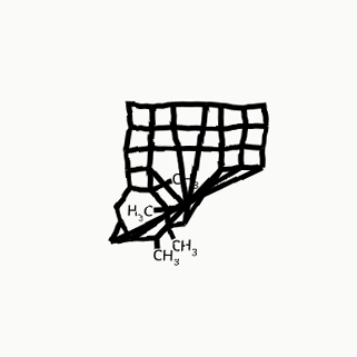 CC12C3CC4C5C6C7C8CC9C%10C%11C%12C%13CC%14C%15C3C13C%151C%14%13C%12%13C%11%12C%10%11C89C78C67C45C4(C)C5(C)C2(C)C32C1%13C%121C8%11C47C521